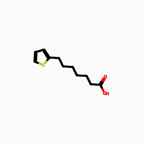 O=C(O)CCCCCCc1cccs1